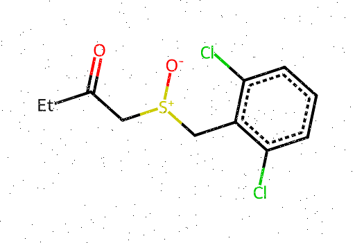 CCC(=O)C[S+]([O-])Cc1c(Cl)cccc1Cl